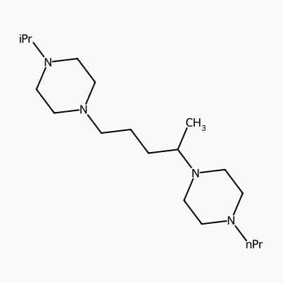 CCCN1CCN(C(C)CCCN2CCN(C(C)C)CC2)CC1